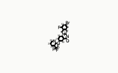 O=c1ncn(Cc2c(F)cc(Br)cc2F)c2ccc(Oc3ncccc3C(F)(F)F)cc12